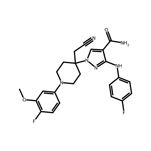 COc1cc(N2CCC(CC#N)(n3cc(C(N)=O)c(Nc4ccc(F)cc4)n3)CC2)ccc1F